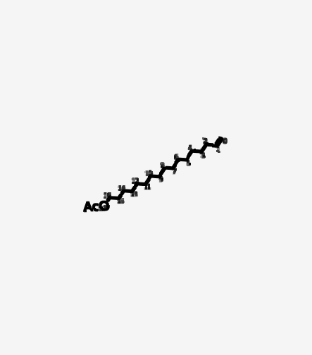 C=CCCCCCCCCCCCCCCCOC(C)=O